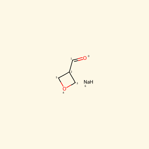 O=CC1COC1.[NaH]